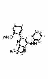 COc1ccccc1-c1cc(Nc2cccnc2)n2ncc(Br)c2n1